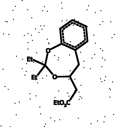 CCOC(=O)CC1Cc2ccccc2OC(CC)(CC)O1